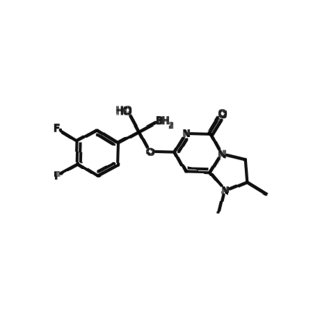 BC(O)(Oc1cc2n(c(=O)n1)CC(C)N2C)c1ccc(F)c(F)c1